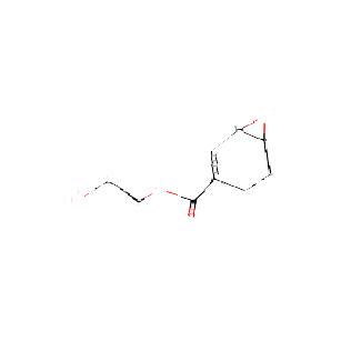 O=C(OCCO)C1=CC2OC2CC1